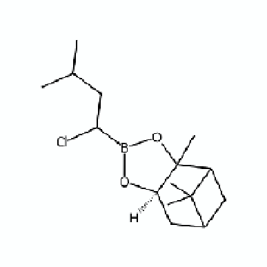 CC(C)CC(Cl)B1O[C@@H]2CC3CC(C3(C)C)C2(C)O1